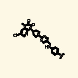 CN(C)c1ccc(NCc2cnc(N3CCC(n4c(=O)c(=O)n(C)c5cc(Cl)cnc54)CC3)nc2)cc1